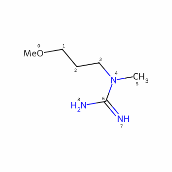 COCCCN(C)C(=N)N